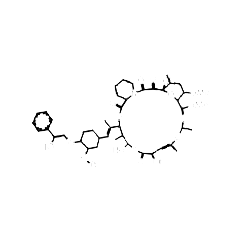 CCC1/C=C(\C)CC(C)CC(OC)C2OC(O)(C(=O)C(=O)N3CCCCC3C(=O)OC(C(C)=CC3CCC(OCC(O)c4ccccc4)C(OC(C)C)C3)C(C)C(O)CC1=O)C(C)CC2OC